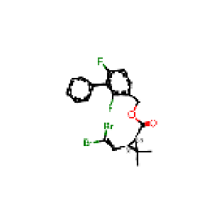 CC1(C)[C@H](C(=O)OCc2ccc(F)c(-c3ccccc3)c2F)[C@@H]1C=C(Br)Br